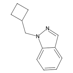 c1ccc2c(c1)cnn2CC1CCC1